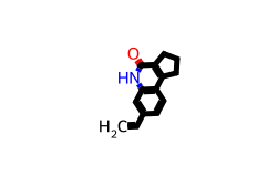 C=Cc1ccc2c3c(c(=O)[nH]c2c1)CCC3